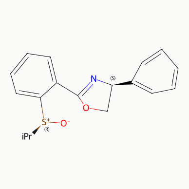 CC(C)[S@+]([O-])c1ccccc1C1=N[C@@H](c2ccccc2)CO1